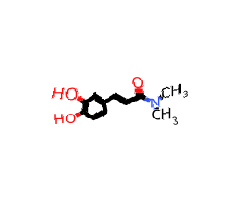 CN(C)C(=O)/C=C/c1ccc(O)c(O)c1